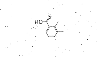 Cc1cccc(C(O)=S)c1C